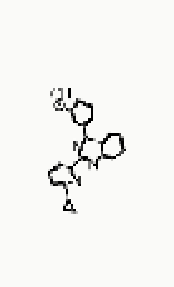 COc1cccc(-c2nc(-c3cccc(C4CC4)n3)nc3ccccc23)c1